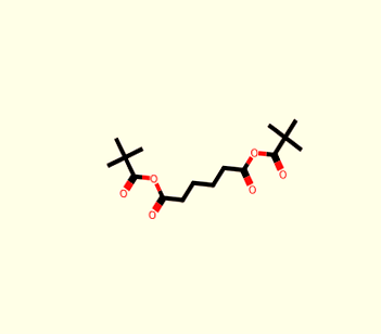 CC(C)(C)C(=O)OC(=O)CCCCC(=O)OC(=O)C(C)(C)C